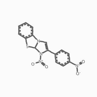 O=[N+]([O-])c1ccc(C2=CN3c4ccccc4SC3N2[N+](=O)[O-])cc1